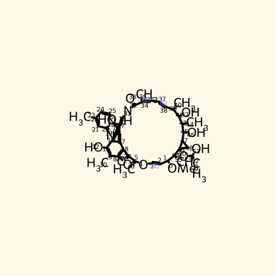 COC1/C=C/OC2(C)Oc3c(C)c(O)c4c(O)c(c5c(nc6cc(C)ccn65)c4c3C2=O)NC(=O)/C(C)=C\C=C\C(C)C(O)C(C)C(O)C2CC2(OC(C)O)C1C